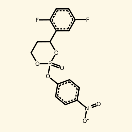 O=[N+]([O-])c1ccc(OP2(=O)OCCC(c3cc(F)ccc3F)O2)cc1